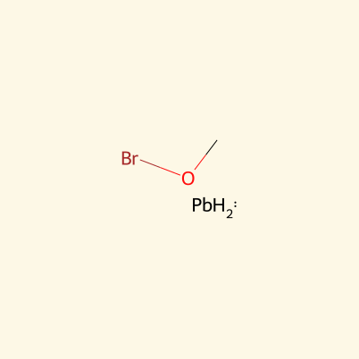 COBr.[PbH2]